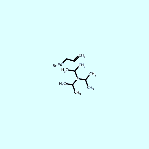 C=C[CH2][Pd+].CC(C)P(C(C)C)C(C)C.[Br-]